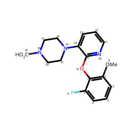 COc1cccc(F)c1Oc1ncccc1N1CCN(C(=O)O)CC1